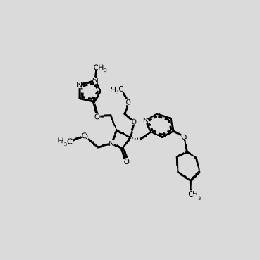 COCO[C@@]1(Cc2cc(OC3CCC(C)CC3)ccn2)C(=O)N(COC)[C@H]1COc1cnn(C)c1